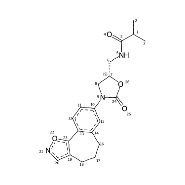 CC(C)C(=O)NC[C@H]1CN(c2ccc3c(c2)CCCc2cnoc2-3)C(=O)O1